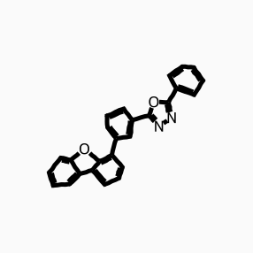 c1ccc(-c2nnc(-c3cccc(-c4cccc5c4oc4ccccc45)c3)o2)cc1